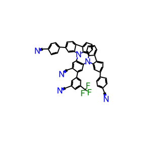 N#Cc1ccc(-c2ccc3c4ccccc4n(-c4cc(C#N)c(-c5cc(C#N)cc(C(F)(F)F)c5)cc4-n4c5ccccc5c5ccc(-c6ccc(C#N)cc6)cc54)c3c2)cc1